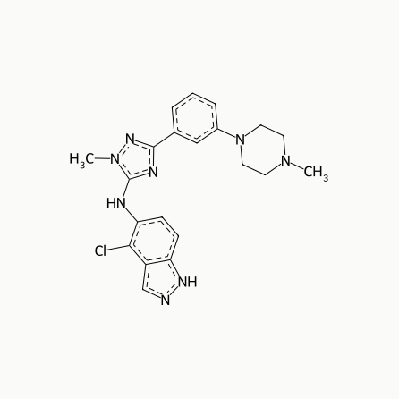 CN1CCN(c2cccc(-c3nc(Nc4ccc5[nH]ncc5c4Cl)n(C)n3)c2)CC1